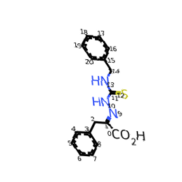 O=C(O)/C(Cc1ccccc1)=N/NC(=S)NCc1ccccc1